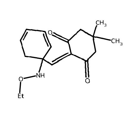 CCONC1(C=C2C(=O)CC(C)(C)CC2=O)C=CC=CC1